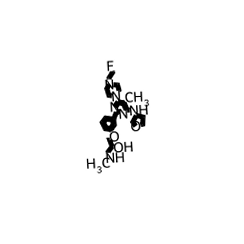 CNCC(O)COc1cccc(-c2nc(NC3CCOC3)c(C)c(N3CCN(CCF)CC3)n2)c1